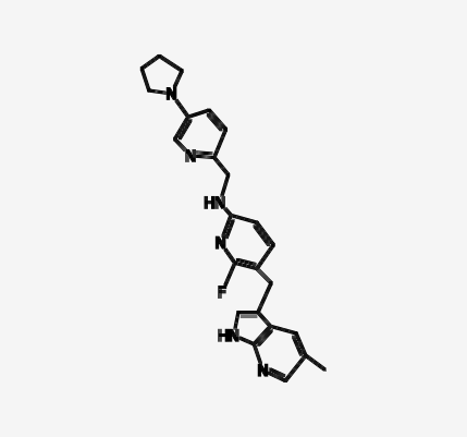 Cc1cnc2[nH]cc(Cc3ccc(NCc4ccc(N5CCCC5)cn4)nc3F)c2c1